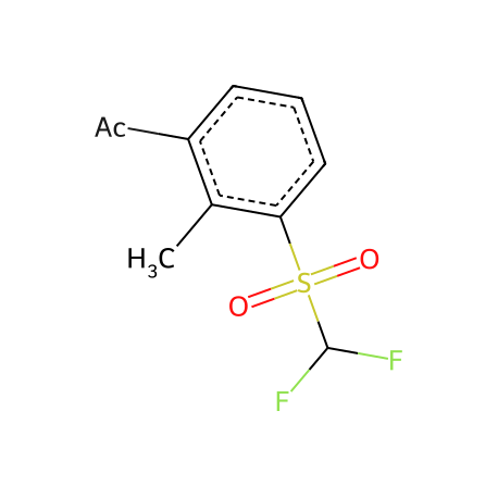 CC(=O)c1cccc(S(=O)(=O)C(F)F)c1C